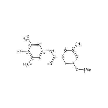 CSOCCC(OS(C)=O)C(=O)Nc1cc(C)c(F)c(C)c1